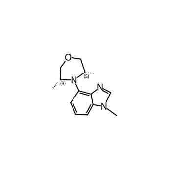 C[C@@H]1COC[C@H](C)N1c1cccc2c1ncn2C